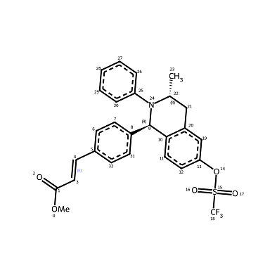 COC(=O)/C=C/c1ccc([C@@H]2c3ccc(OS(=O)(=O)C(F)(F)F)cc3C[C@@H](C)N2c2ccccc2)cc1